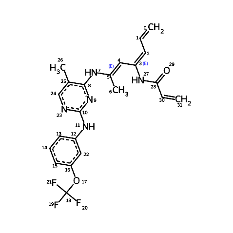 C=C/C=C(\C=C(/C)Nc1nc(Nc2cccc(OC(F)(F)F)c2)ncc1C)NC(=O)C=C